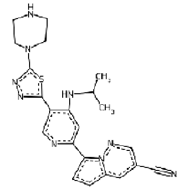 CC(C)Nc1cc(-c2ccc3cc(C#N)cnn23)ncc1-c1nnc(N2CCNCC2)s1